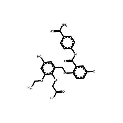 CCOc1cc(O)cc(CNc2ccc(Cl)cc2C(=O)Nc2ccc(C(=N)N)cc2)c1OCC(=O)O